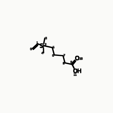 C=C[Si](C)(C)CCCCC(=O)O